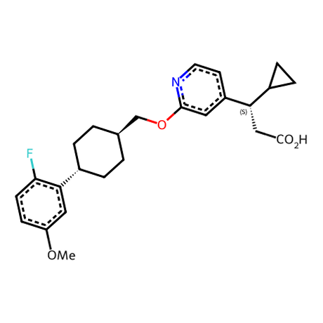 COc1ccc(F)c([C@H]2CC[C@H](COc3cc([C@@H](CC(=O)O)C4CC4)ccn3)CC2)c1